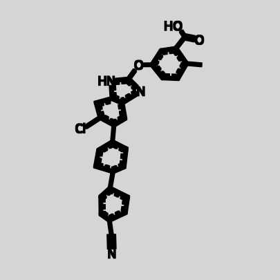 Cc1ccc(Oc2nc3cc(-c4ccc(-c5ccc(C#N)cc5)cc4)c(Cl)cc3[nH]2)cc1C(=O)O